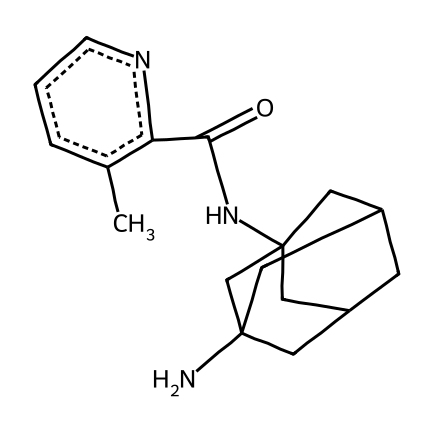 Cc1cccnc1C(=O)NC12CC3CC(CC(N)(C3)C1)C2